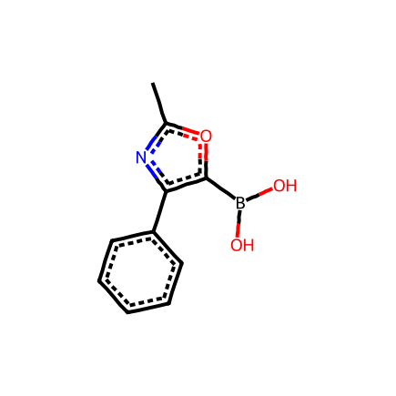 Cc1nc(-c2ccccc2)c(B(O)O)o1